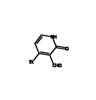 CCc1cc[nH]c(=O)c1C=O